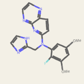 COc1cc(OC)c(F)c(N(Cc2ncc[nH]2)c2ccc3nccnc3n2)c1